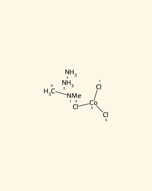 CNC.N.N.[Cl][Co]([Cl])[Cl]